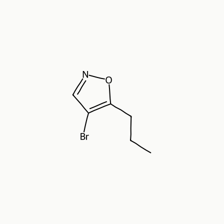 CCCc1oncc1Br